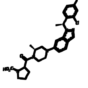 C[C@@H]1CN(c2ccc3cnn([C@H](C)c4ccc(Cl)cc4Cl)c3c2)CCN1C(=O)C1CCCN1C(=O)O